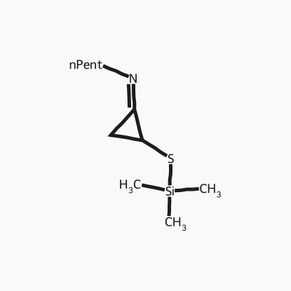 CCCCC/N=C1\CC1S[Si](C)(C)C